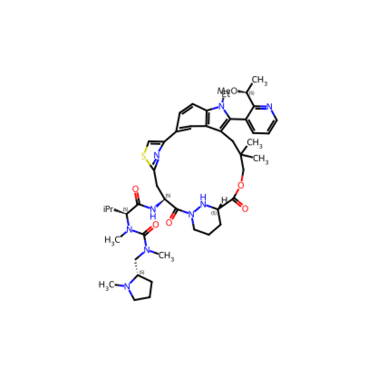 CCn1c(-c2cccnc2[C@H](C)OC)c2c3cc(ccc31)-c1csc(n1)C[C@H](NC(=O)[C@H](C(C)C)N(C)C(=O)N(C)C[C@@H]1CCCN1C)C(=O)N1CCC[C@H](N1)C(=O)OCC(C)(C)C2